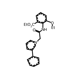 CCOC(=O)c1cccc(OCC)c1NC(=O)C[n+]1cccc(-c2ccccc2)c1